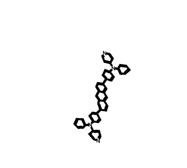 c1ccc(N(c2ccncc2)c2ccc(-c3ccc4cc5cc(-c6ccc(N(c7ccccc7)c7ccncc7)cc6)ccc5cc4c3)cc2)cc1